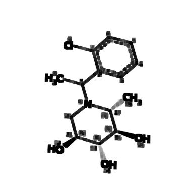 CC(c1ccccc1Cl)N1C[C@H](O)[C@@H](O)[C@H](O)[C@H]1C